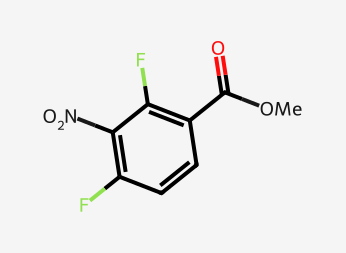 COC(=O)c1ccc(F)c([N+](=O)[O-])c1F